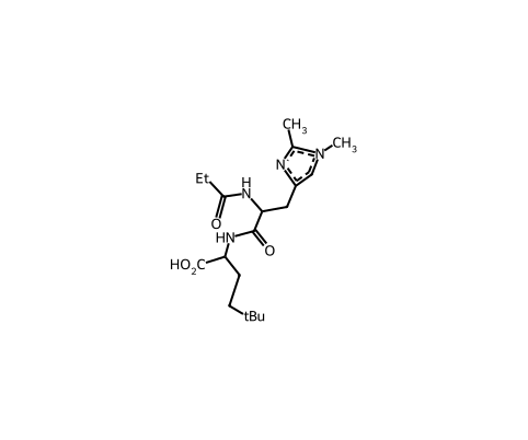 CCC(=O)NC(Cc1cn(C)c(C)n1)C(=O)NC(CCC(C)(C)C)C(=O)O